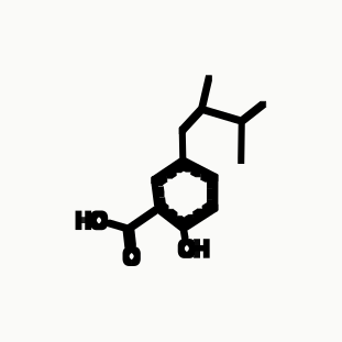 CC(C)C(C)Cc1ccc(O)c(C(=O)O)c1